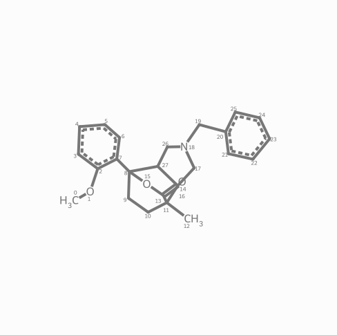 COc1ccccc1C12CCC(C)(C(=O)O1)C1CN(Cc3ccccc3)CC12